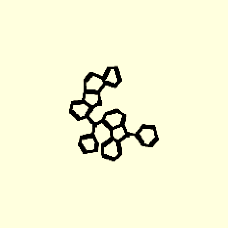 c1ccc(N(c2cccc3c2oc2c4ccccc4ccc32)c2cccc3c2c2ccccc2n3-c2ccccc2)cc1